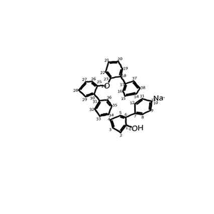 Oc1ccccc1-c1ccccc1.[Na].c1ccc(-c2ccccc2Oc2ccccc2-c2ccccc2)cc1